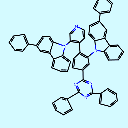 c1ccc(-c2ccc3c(c2)c2ccccc2n3-c2cnccc2-c2ccc(-c3nc(-c4ccccc4)nc(-c4ccccc4)n3)cc2-n2c3ccccc3c3cc(-c4ccccc4)ccc32)cc1